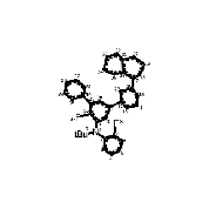 CC(C)(C)N(c1ccccc1F)c1cc(-c2cccc(-c3cccc4ccccc34)c2)cc(-c2ccccc2)c1F